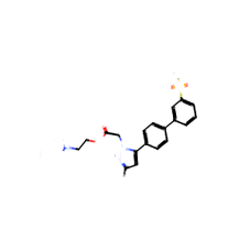 CN(C)CCOC(=O)Cn1nc(C(F)(F)F)cc1-c1ccc(-c2cccc(S(C)(=O)=O)c2)cc1